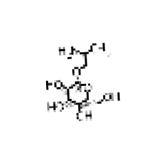 CC(N)CO[C@@H]1O[C@H](CO)[C@@H](O)[C@H](O)[C@H]1O